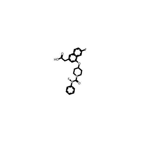 O=C(O)Cc1cc(OC2CCN(C(=O)N(F)c3ccccc3)CC2)c2cc(F)ccc2c1